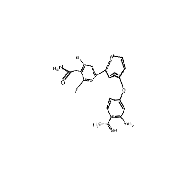 CCc1cc(-c2cc(Oc3ccc(C(C)=N)c(N)c3)ccn2)cc(F)c1C(N)=O